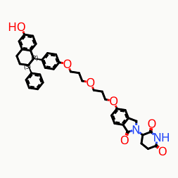 O=C1CCC(N2Cc3cc(OCCCOCCCOc4ccc([C@@H]5c6ccc(O)cc6CC[C@@H]5c5ccccc5)cc4)ccc3C2=O)C(=O)N1